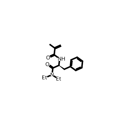 C=C(C)C(=O)N[C@@H](Cc1ccccc1)C(=O)N(CC)CC